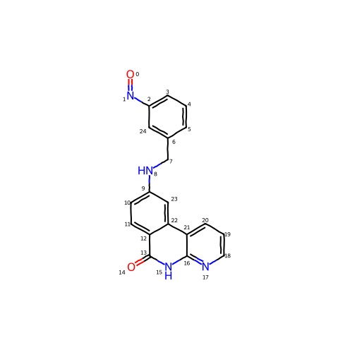 O=Nc1cccc(CNc2ccc3c(=O)[nH]c4ncccc4c3c2)c1